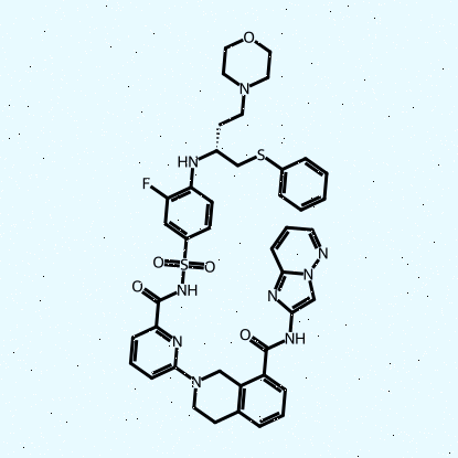 O=C(NS(=O)(=O)c1ccc(N[C@H](CCN2CCOCC2)CSc2ccccc2)c(F)c1)c1cccc(N2CCc3cccc(C(=O)Nc4cn5ncccc5n4)c3C2)n1